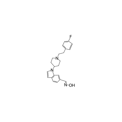 ON=Cc1ccc2ccn(C3CCN(CCc4ccc(F)cc4)CC3)c2c1